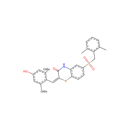 COc1cc(O)cc(OC)c1/C=C1/Sc2ccc(S(=O)(=O)Cc3c(C)cccc3C)cc2NC1=O